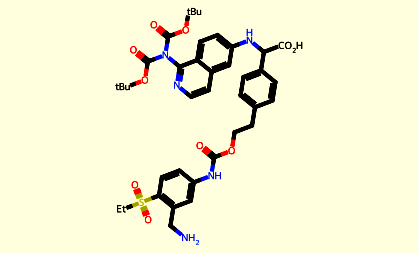 CCS(=O)(=O)c1ccc(NC(=O)OCCc2ccc(C(Nc3ccc4c(N(C(=O)OC(C)(C)C)C(=O)OC(C)(C)C)nccc4c3)C(=O)O)cc2)cc1CN